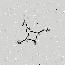 CC(C)(C)N1SN(C(C)(C)C)[SH]1Cl